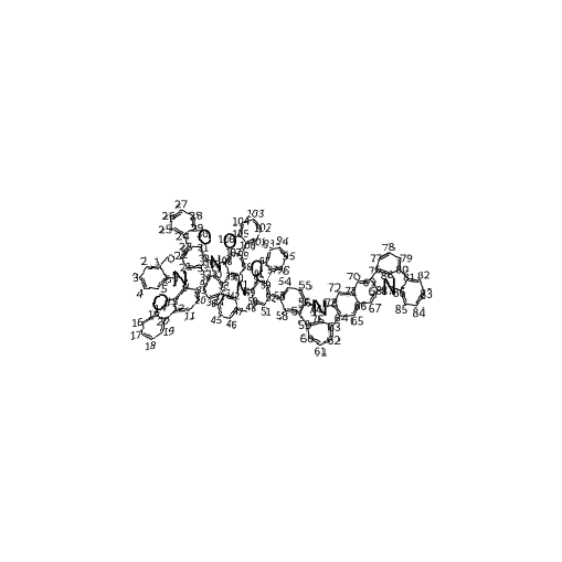 Cc1ccccc1N(c1cccc2c1oc1ccccc12)c1cc2c3ccccc3oc2c2c1c1cccc3c4c(N(c5ccccc5C)c5ccc(-c6ccc7c(c6)c6cccc8c9cc%10cc%11c(cc%10cc9n7c68)c6cccc7c8ccccc8n%11c76)c6c5oc5ccccc56)cc5c6ccccc6oc5c4n2c13